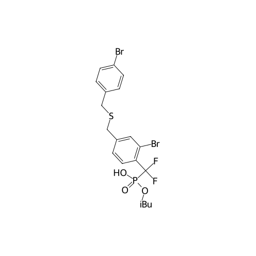 CCC(C)OP(=O)(O)C(F)(F)c1ccc(CSCc2ccc(Br)cc2)cc1Br